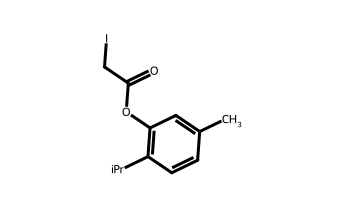 Cc1ccc(C(C)C)c(OC(=O)CI)c1